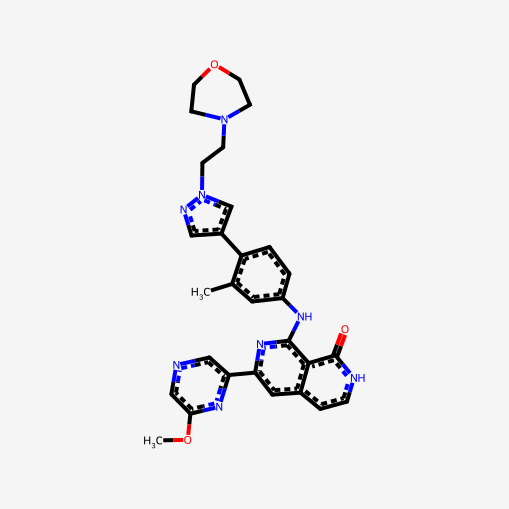 COc1cncc(-c2cc3cc[nH]c(=O)c3c(Nc3ccc(-c4cnn(CCN5CCOCC5)c4)c(C)c3)n2)n1